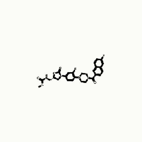 CSC(=O)NC[C@H]1CN(c2ccc(N3CCN(C(=O)c4ccc5cc(F)ccc5c4)CC3)c(F)c2)C(=O)O1